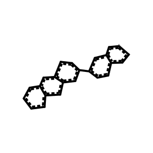 [c]1ccc2ccc(-c3ccc4cc5ccccc5cc4c3)cc2c1